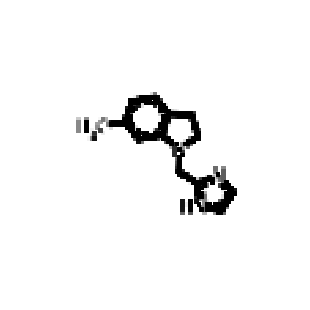 Cc1ccc2c(c1)N(Cc1ncc[nH]1)CC2